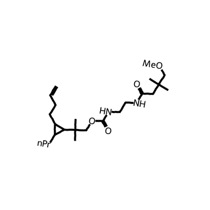 C=CCCC1C(CCC)C1C(C)(C)COC(=O)NCCNC(=O)CC(C)(C)COC